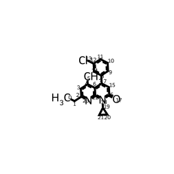 CCc1cc(C)c2c(-c3cccc(Cl)c3)cc(=O)n(C3CC3)c2n1